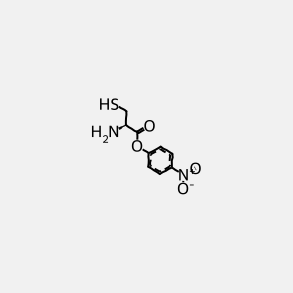 N[C@@H](CS)C(=O)Oc1ccc([N+](=O)[O-])cc1